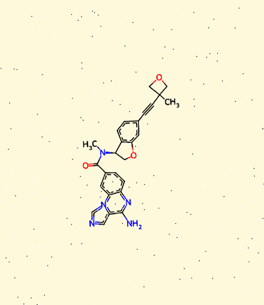 CN(C(=O)c1ccc2nc(N)c3cncn3c2c1)[C@@H]1COc2cc(C#CC3(C)COC3)ccc21